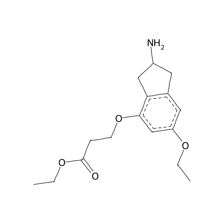 CCOC(=O)CCOc1cc(OCC)cc2c1CC(N)C2